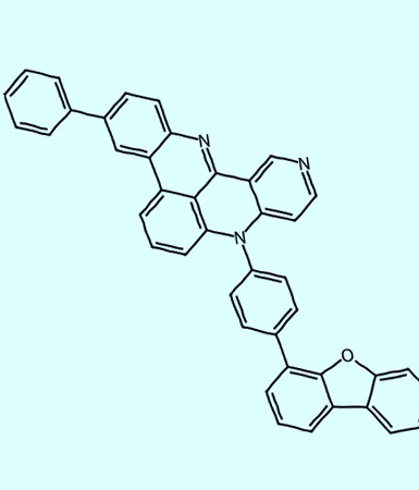 c1ccc(-c2ccc3nc4c5c(cccc5c3c2)N(c2ccc(-c3cccc5c3oc3ccccc35)cc2)c2ccncc2-4)cc1